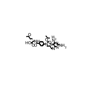 CC(=O)CC[C@H](NC(=O)c1ccc(N(Cc2cnc3nc(N)nc(N)c3n2)C(=O)OC(C)C)cc1)C(=O)O